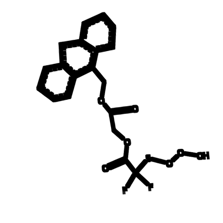 O=C(COC(=O)C(F)(F)SOOO)OCc1c2ccccc2cc2ccccc12